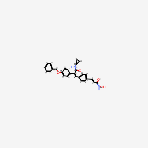 O=C(C=Cc1ccc(C=C(C(=O)NC2CC2)c2ccc(OCc3ccccc3)cc2)cc1)NO